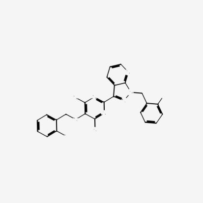 Nc1nc(-c2nn(Cc3ccccc3F)c3ncccc23)nc(N)c1NCc1ccccc1F